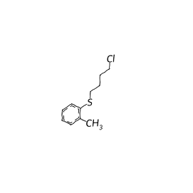 Cc1ccccc1SCCCCCl